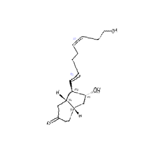 O=C1C[C@H]2C[C@@H](O)[C@H](/C=C/CC/C=C\CCO)[C@H]2C1